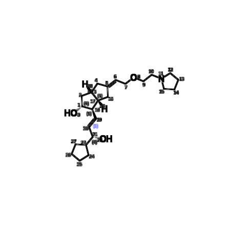 O[C@@H]1C[C@@H]2CC(=CCOCCN3CCCC3)C[C@@H]2[C@H]1/C=C/[C@H](O)C1CCCC1